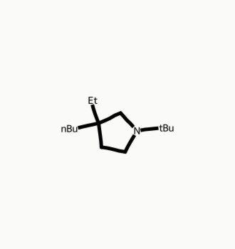 CCCCC1(CC)CCN(C(C)(C)C)C1